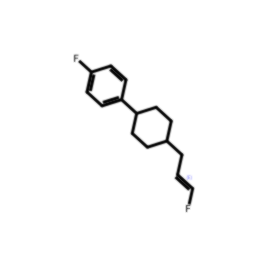 F/C=C/CC1CCC(c2ccc(F)cc2)CC1